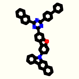 c1ccc(-c2ccc(-c3nc(-c4ccc5ccccc5c4)nc(-c4ccc5c(c4)oc4ccc(-n6c7ccccc7c7cc8ccccc8cc76)cc45)n3)cc2)cc1